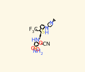 N#CCOc1cc(S(N)(=O)=O)ccc1NCC#Cc1sc2c(NC3CCN(C4CC4)CC3)cccc2c1CC(F)(F)F